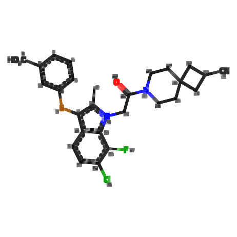 Cc1c(Sc2cccc(C(=O)O)c2)c2ccc(Cl)c(F)c2n1CC(=O)N1CCC2(CC1)CC(C#N)C2